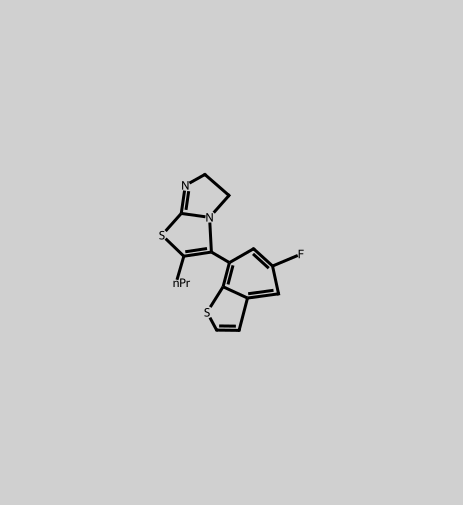 CCCC1=C(c2cc(F)cc3ccsc23)N2CCN=C2S1